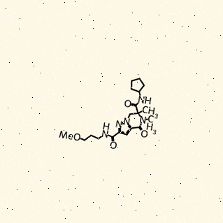 COCCCNC(=O)c1cc2n(n1)CC(C)(C(=O)NC1CCCC1)N(C)C2=O